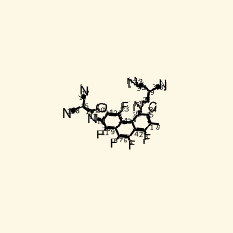 Cc1c(F)c2c(F)c(F)c3c(F)c4nc(=C(C#N)C#N)oc4c(F)c3c2c2nc(=C(C#N)C#N)oc12